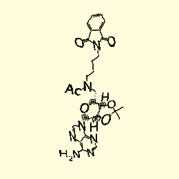 CC(=O)N(CCCCN1C(=O)c2ccccc2C1=O)C[C@H]1O[C@@H](n2cnc3c(N)ncnc32)[C@@H]2OC(C)(C)O[C@@H]21